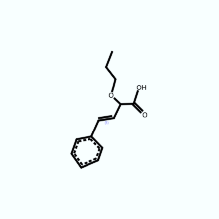 CCCOC(/C=C/c1ccccc1)C(=O)O